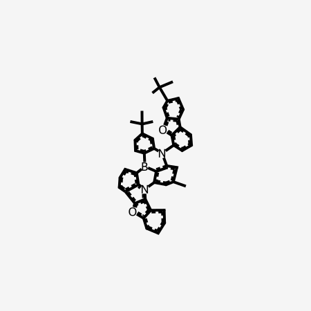 Cc1cc2c3c(c1)-n1c4c(cccc4c4oc5ccccc5c41)B3c1ccc(C(C)(C)C)cc1N2c1cccc2c1oc1cc(C(C)(C)C)ccc12